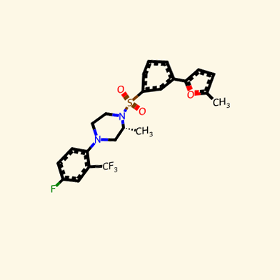 Cc1ccc(-c2cccc(S(=O)(=O)N3CCN(c4ccc(F)cc4C(F)(F)F)C[C@H]3C)c2)o1